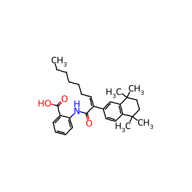 CCCCCCC=C(C(=O)Nc1ccccc1C(=O)O)c1ccc2c(c1)C(C)(C)CCC2(C)C